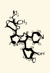 CC1(C)OCC(c2ccnc3c(-c4ccc(Cl)c(O)c4)c(-c4ccncc4)nn23)O1